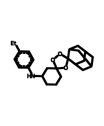 CCc1ccc(NC2CCCC3(C2)OOC2(O3)C3CC4CC(C3)CC2C4)cc1